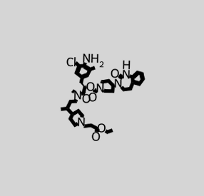 CCOC(=O)CCN1CCC(C(C)CCN(C)C(=O)[C@@H](Cc2cc(C)c(N)c(Cl)c2)OC(=O)N2CCC(N3CCc4ccccc4NC3=O)CC2)CC1